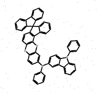 c1ccc(N(c2ccc3c(c2)Oc2c(ccc4c2-c2ccccc2C42c4ccccc4-c4ccccc42)O3)c2ccc3c(c2)c2ccccc2n3-c2ccccc2)cc1